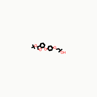 CC(C)(O)CCOc1ccc(Oc2cccc3c2OC[C@H]3OC(C)(C)C)cc1